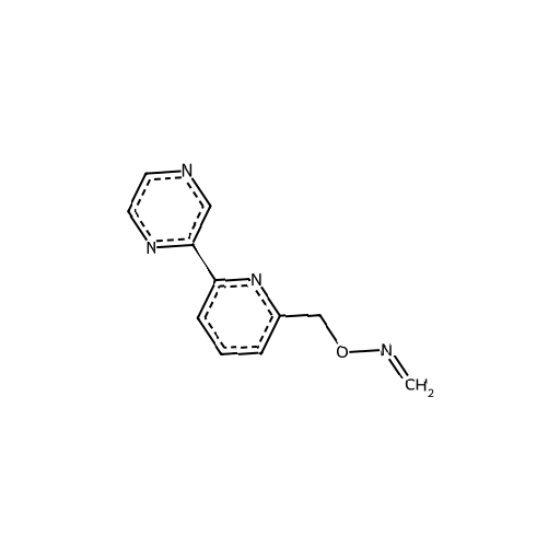 C=NOCc1cccc(-c2cnccn2)n1